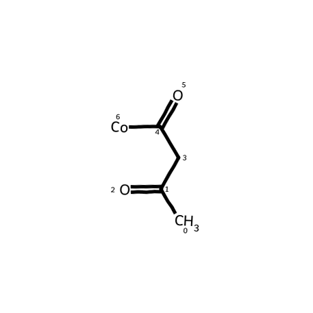 CC(=O)C[C](=O)[Co]